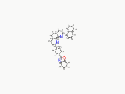 c1ccc2c(-c3ccc4ccc5ccc(-c6ccc(-c7nc8ccccc8o7)cc6)nc5c4n3)cccc2c1